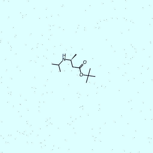 CC(C)N[C@@H](C)CC(=O)OC(C)(C)C